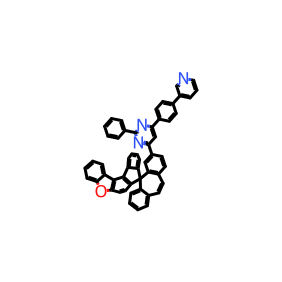 C1=Cc2ccc(-c3cc(-c4ccc(-c5cccnc5)cc4)nc(-c4ccccc4)n3)cc2C2(c3ccccc31)c1ccccc1-c1c2ccc2oc3ccccc3c12